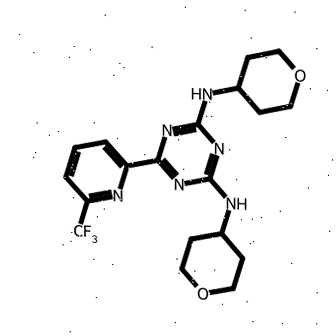 FC(F)(F)c1cccc(-c2nc(NC3CCOCC3)nc(NC3CCOCC3)n2)n1